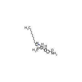 CCCCCCCCCCCC1=N/C(=C/c2[nH]c(-c3cc4ccc(C(N)=O)cc4[nH]3)cc2OC)C=C1